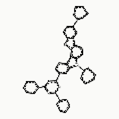 c1ccc(-c2ccc3sc4c(ccc5c4c4ccc(-c6nc(-c7ccccc7)nc(-c7ccccc7)n6)cc4n5-c4ccccc4)c3c2)cc1